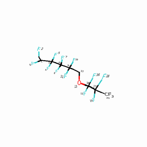 FC(F)C(F)(F)C(F)(F)C(F)(F)COC(F)(F)C(F)(F)C(F)(F)F